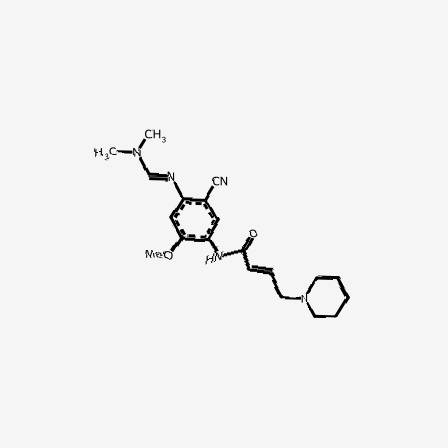 COc1cc(N=CN(C)C)c(C#N)cc1NC(=O)/C=C/CN1CCCCC1